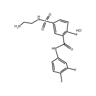 Cl.NCCNS(=O)(=O)c1ccc(F)c(C(=O)Nc2ccc(F)c(F)c2)c1